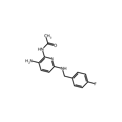 CC(=O)Nc1nc(NCc2ccc(F)cc2)ccc1N